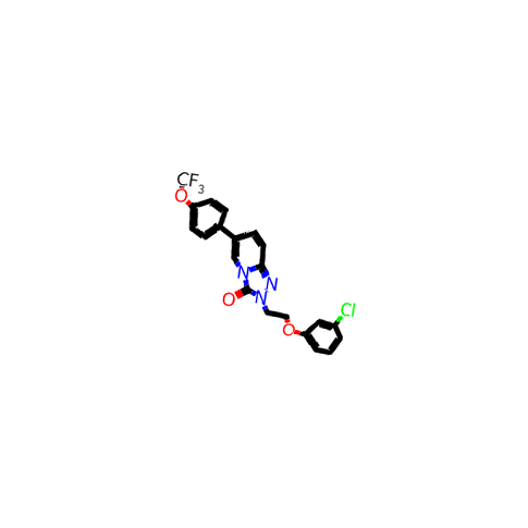 O=c1n(CCOc2cccc(Cl)c2)nc2ccc(-c3ccc(OC(F)(F)F)cc3)cn12